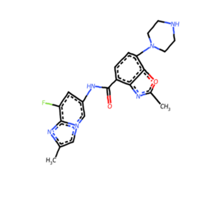 Cc1cn2cc(NC(=O)c3ccc(N4CCNCC4)c4oc(C)nc34)cc(F)c2n1